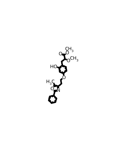 COC(=O)C(Cc1ccc(OCCc2nc(-c3ccccc3)oc2C)cc1O)OC